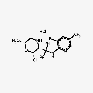 Cl.[2H]C([2H])(Nc1ncc(C(F)(F)F)cc1F)[C@H]1NC[C@@H](C)O[C@H]1C